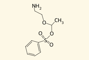 CC(OCCN)OS(=O)(=O)c1ccccc1